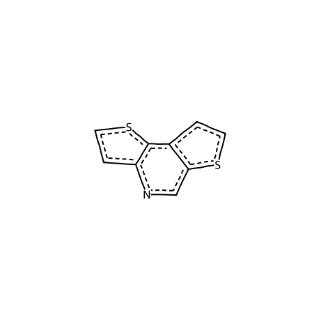 c1cc2c(cnc3ccsc32)s1